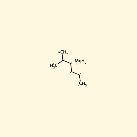 [CH2]C(C)CCCC.[MgH2]